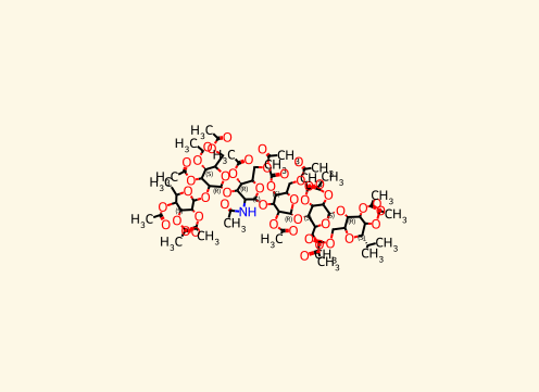 CC(=O)NC1C(O[C@@H]2OC(COC(C)=O)[C@H](OC(C)=O)C(OC(C)=O)C2OC2OC(C)C(OC(C)=O)[C@H](OC(C)=O)C2OC(C)=O)[C@@H](OC(C)=O)C(COC(C)=O)O[C@H]1OC1C(OC(C)=O)[C@@H](O[C@H]2C(COC(C)=O)O[C@@H](O[C@@H]3C(COC(C)=O)O[C@@H](C(C)C)C(OC(C)=O)C3OC(C)=O)C(OC(C)=O)C2OC(C)=O)OC(COC(C)=O)[C@@H]1OC(C)=O